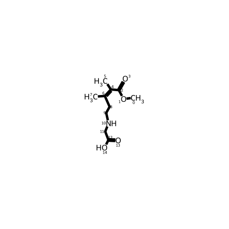 COC(=O)C(C)=C(C)CCNCC(=O)O